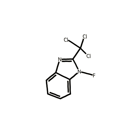 Fn1c(C(Cl)(Cl)Cl)nc2ccccc21